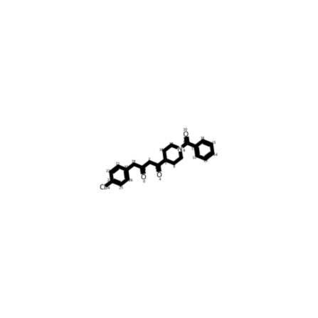 O=C(CC(=O)C1CCN(C(=O)c2ccccc2)CC1)Cc1ccc(Cl)cc1